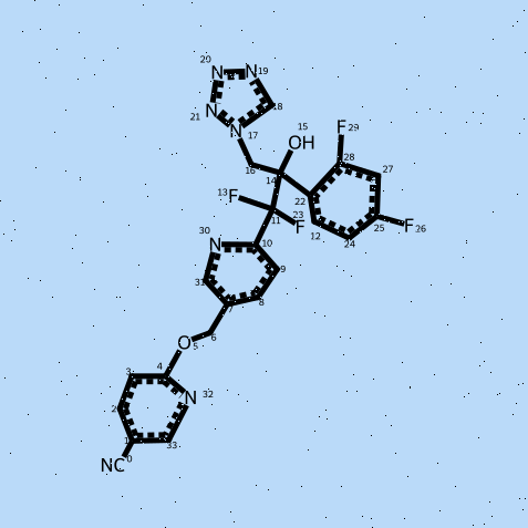 N#Cc1ccc(OCc2ccc(C(F)(F)C(O)(Cn3cnnn3)c3ccc(F)cc3F)nc2)nc1